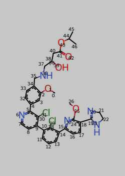 COc1cc(-c2nccc(-c3cccc(-c4ccc(C5=NCCN5)c(OC)n4)c3Cl)c2Cl)ccc1CNC[C@H](O)CC(=O)OC(C)C